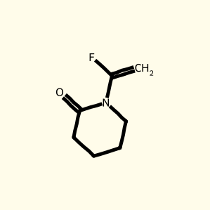 C=C(F)N1CCCCC1=O